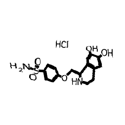 Cl.NS(=O)(=O)c1ccc(OCC2NCCc3cc(O)c(O)cc32)cc1